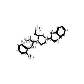 CCC1CN(C2C=Nc3ccccc3N2)CCN1C(NN)Nc1ccccc1C